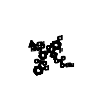 CC(C)(C)OC(=O)ON1CC(C(=O)N2C[C@H](S(=O)(=O)c3ccccc3Cl)C[C@H]2C(=O)NC2(C#N)CC2)(c2ncc(Cl)cc2F)C1